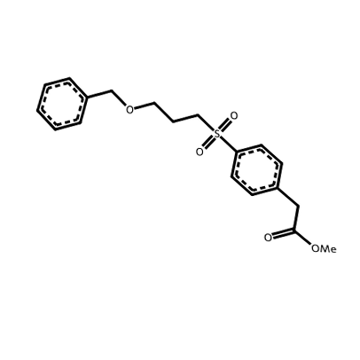 COC(=O)Cc1ccc(S(=O)(=O)CCCOCc2ccccc2)cc1